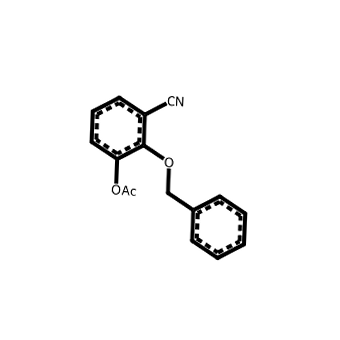 CC(=O)Oc1cccc(C#N)c1OCc1ccccc1